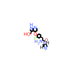 CN1C[C@@H]2C[C@H]1CN2C(=O)C(N)Cc1ccc(Oc2ccnc3[nH]cc(CO)c23)c(F)c1